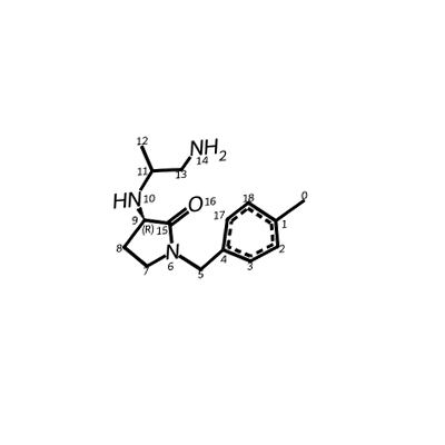 Cc1ccc(CN2CC[C@@H](NC(C)CN)C2=O)cc1